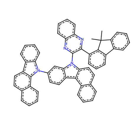 CC1(C)c2ccccc2-c2cccc(-c3nc4ccccc4nc3-n3c4cc(-n5c6ccccc6c6ccc7ccccc7c65)ccc4c4c5ccccc5ccc43)c21